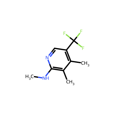 CNc1ncc(C(F)(F)F)c(C)c1C